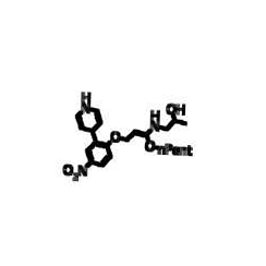 CCCCCOC(=CCOc1ccc([N+](=O)[O-])cc1C1C=CNC=C1)NCC(C)O